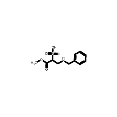 COC(=O)C(CNCc1ccccc1)S(=O)(=O)O